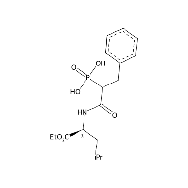 CCOC(=O)[C@H](CC(C)C)NC(=O)C(Cc1ccccc1)P(=O)(O)O